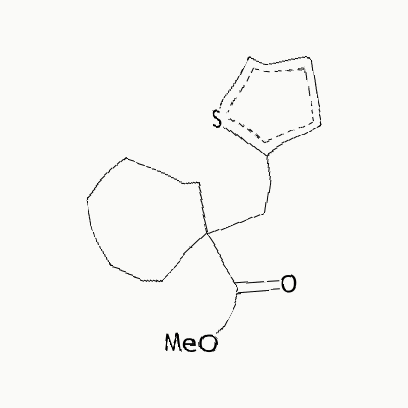 COC(=O)C1(Cc2cccs2)CCCCC1